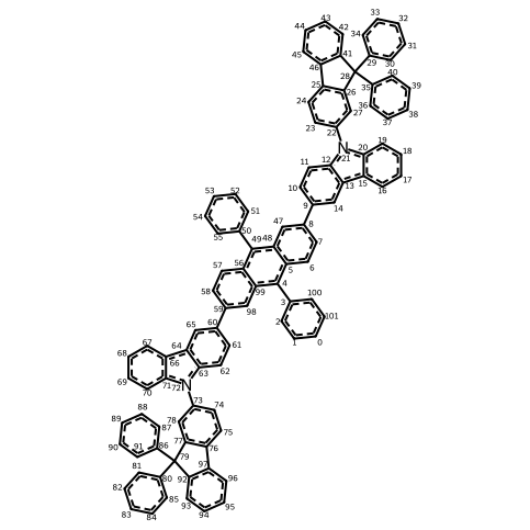 c1ccc(-c2c3ccc(-c4ccc5c(c4)c4ccccc4n5-c4ccc5c(c4)C(c4ccccc4)(c4ccccc4)c4ccccc4-5)cc3c(-c3ccccc3)c3ccc(-c4ccc5c(c4)c4ccccc4n5-c4ccc5c(c4)C(c4ccccc4)(c4ccccc4)c4ccccc4-5)cc23)cc1